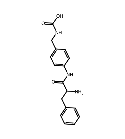 NC(Cc1ccccc1)C(=O)Nc1ccc(CNC(=O)O)cc1